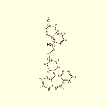 Clc1ccc2c(NCCN3CCC(=C4c5ccccc5C=Cc5ccccc54)CC3)ccnc2c1